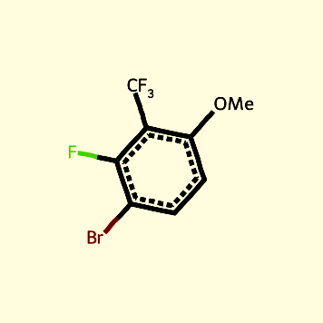 COc1ccc(Br)c(F)c1C(F)(F)F